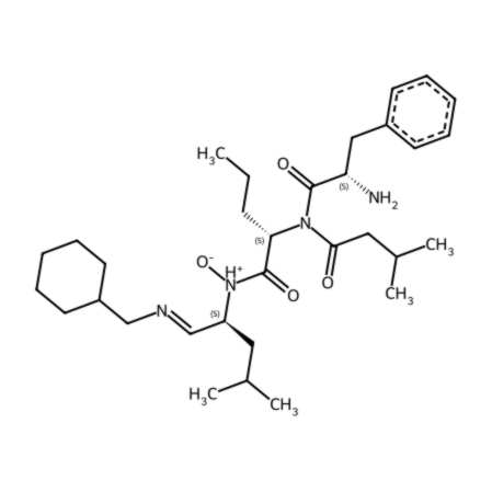 CCC[C@@H](C(=O)[NH+]([O-])[C@H](C=NCC1CCCCC1)CC(C)C)N(C(=O)CC(C)C)C(=O)[C@@H](N)Cc1ccccc1